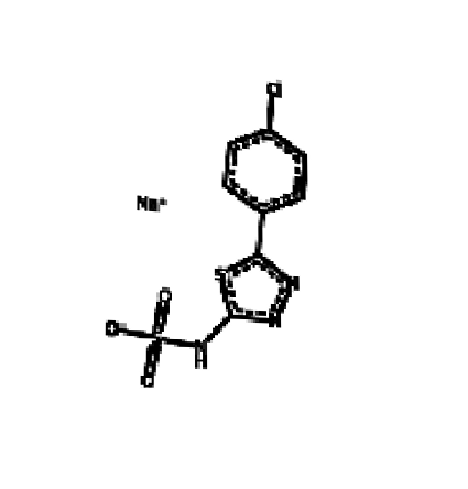 O=S(=O)([O-])Nc1nnc(-c2ccc(Cl)cc2)s1.[Na+]